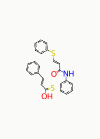 O=C(C=CSc1ccccc1)Nc1ccccc1.OC(=S)C=Cc1ccccc1